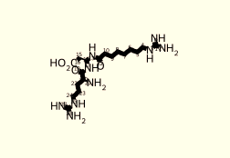 N=C(N)NCCCCCCCC(=O)N[C@H](CC(=O)O)NC(=O)[C@@H](N)CCCNC(=N)N